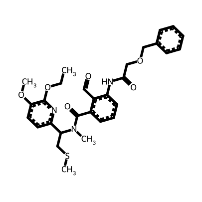 CCOc1nc(C(CSC)N(C)C(=O)c2cccc(NC(=O)COCc3ccccc3)c2C=O)ccc1OC